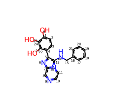 Oc1ccc(-c2nc3cnccn3c2NCc2ccccc2)c(O)c1O